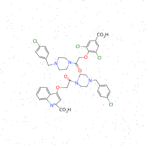 O=C(O)c1cc(Cl)c(OCC(=O)N2CCN(Cc3ccc(Cl)cc3)CC2)c(Cl)c1.O=C(O)c1cc(OCC(=O)N2CCN(Cc3ccc(Cl)cc3)CC2)c2ccccc2n1